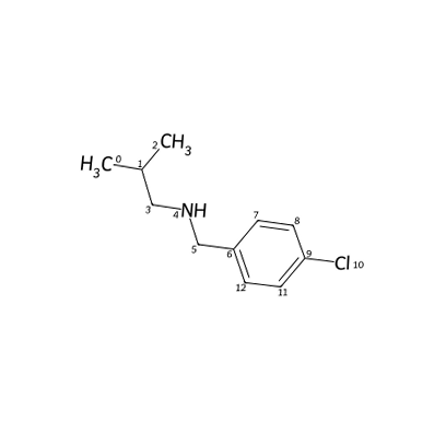 CC(C)CNCc1ccc(Cl)cc1